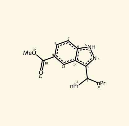 CCCC(CCC)c1n[nH]c2ccc(C(=O)OC)cc12